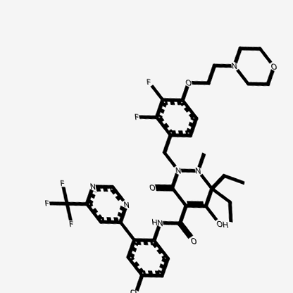 CCC1(CC)C(O)=C(C(=O)Nc2ccc(Cl)cc2-c2cc(C(F)(F)F)ncn2)C(=O)N(Cc2ccc(OCCN3CCOCC3)c(F)c2F)N1C